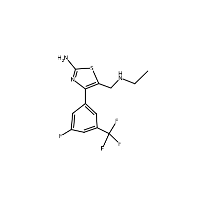 CCNCc1sc(N)nc1-c1cc(F)cc(C(F)(F)F)c1